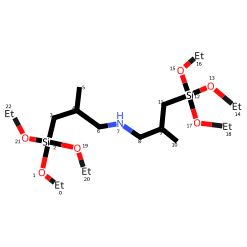 CCO[Si](CC(C)CNCC(C)C[Si](OCC)(OCC)OCC)(OCC)OCC